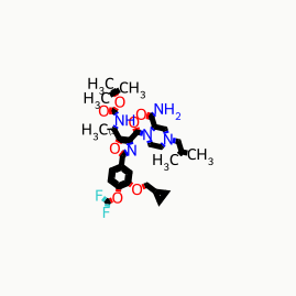 C[C](C)CN1CCN(C(=O)c2nc(-c3ccc(OC(F)F)c(OCC4CC4)c3)oc2[C@H](C)NC(=O)OC(C)(C)C)C(C(N)=O)C1